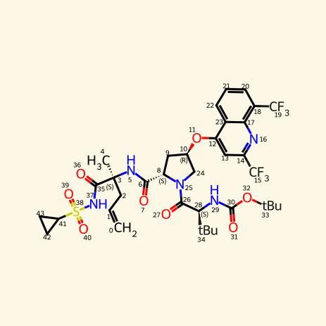 C=CC[C@](C)(NC(=O)[C@@H]1C[C@@H](Oc2cc(C(F)(F)F)nc3c(C(F)(F)F)cccc23)CN1C(=O)[C@@H](NC(=O)OC(C)(C)C)C(C)(C)C)C(=O)NS(=O)(=O)C1CC1